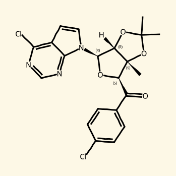 CC1(C)O[C@H]2[C@H](n3ccc4c(Cl)ncnc43)O[C@H](C(=O)c3ccc(Cl)cc3)[C@@]2(C)O1